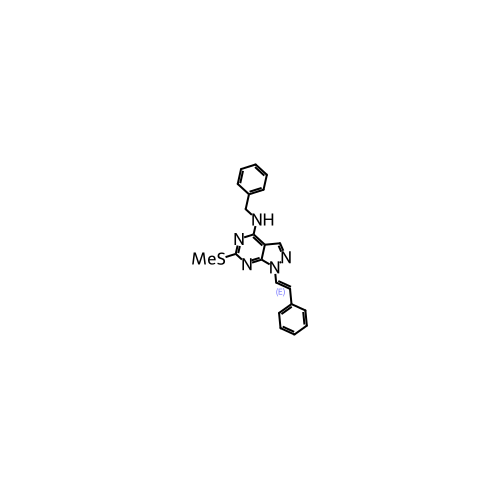 CSc1nc(NCc2ccccc2)c2cnn(/C=C/c3ccccc3)c2n1